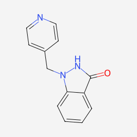 O=c1[nH]n(Cc2ccncc2)c2ccccc12